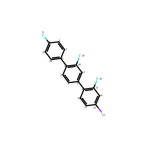 Fc1ccc(-c2ccc(-c3ccc(I)cc3F)cc2F)cc1